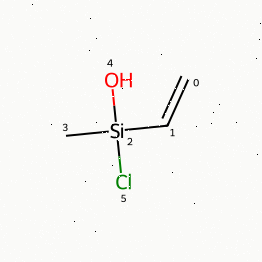 C=C[Si](C)(O)Cl